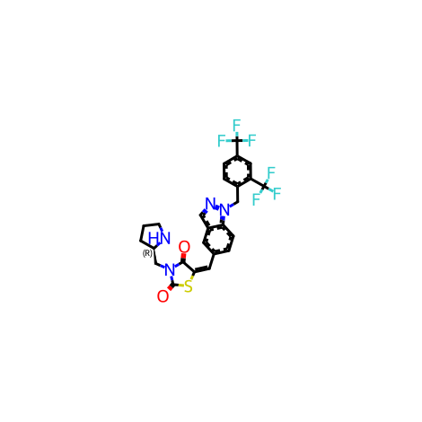 O=C1SC(=Cc2ccc3c(cnn3Cc3ccc(C(F)(F)F)cc3C(F)(F)F)c2)C(=O)N1C[C@H]1CCCN1